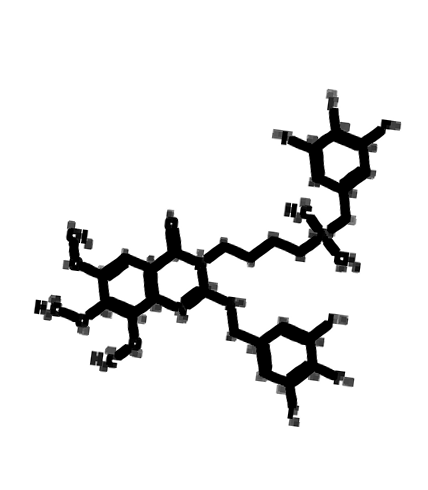 COc1cc2c(=O)n(CCCC[N+](C)(C)Cc3cc(F)c(F)c(F)c3)c(SCc3cc(F)c(F)c(F)c3)nc2c(OC)c1OC